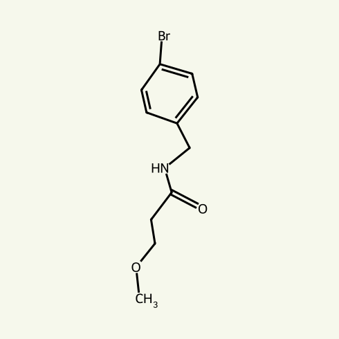 COCCC(=O)NCc1ccc(Br)cc1